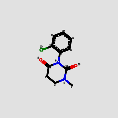 CN1CCC(=O)N(c2ccccc2Cl)C1=O